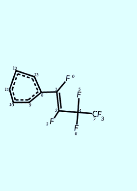 FC(=C(F)C(F)(F)C(F)(F)F)c1cc[c]cc1